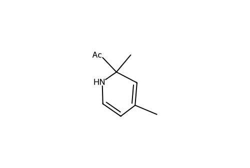 CC(=O)C1(C)C=C(C)C=CN1